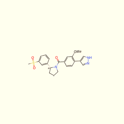 COc1cc(C(=O)N2C[CH]C[C@@H]2c2cccc(S(C)(=O)=O)c2)ccc1-c1cn[nH]c1